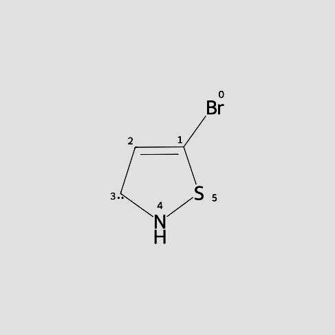 BrC1=C[C]NS1